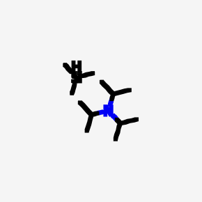 CC(C)N(C(C)C)C(C)C.C[SiH](C)C